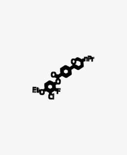 CCCC1CC=C(c2ccc(C(=O)Oc3ccc(OCC)c(Cl)c3F)cc2)OC1